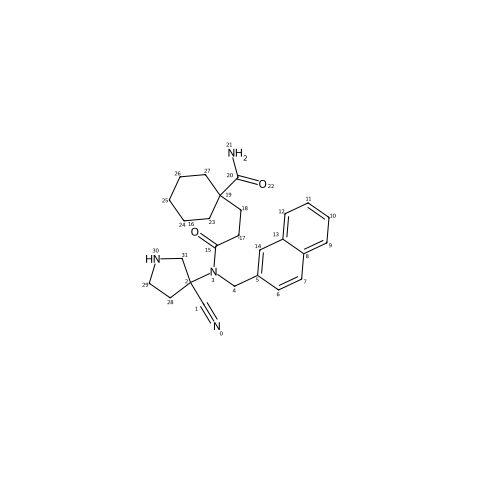 N#CC1(N(Cc2ccc3ccccc3c2)C(=O)[CH]CC2(C(N)=O)CCCCC2)CCNC1